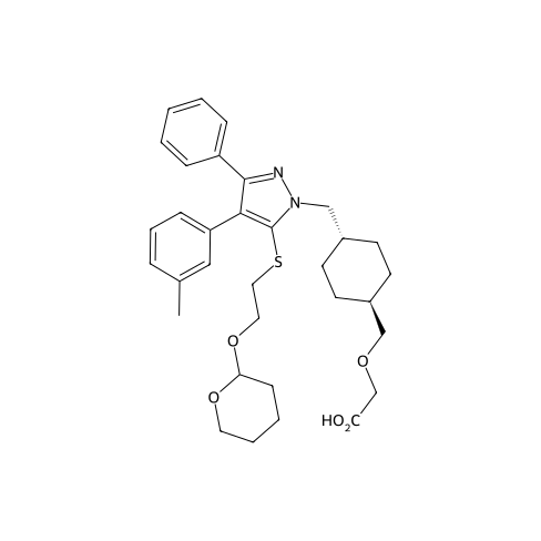 Cc1cccc(-c2c(-c3ccccc3)nn(C[C@H]3CC[C@H](COCC(=O)O)CC3)c2SCCOC2CCCCO2)c1